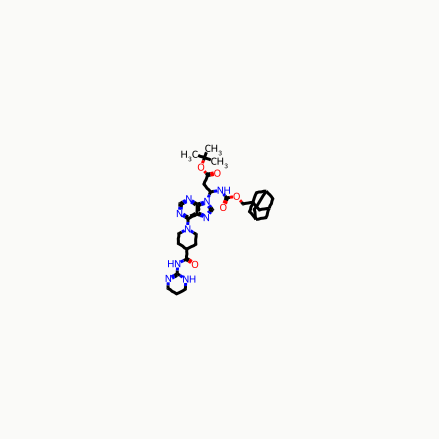 CC(C)(C)OC(=O)CC(NC(=O)OCC12CC3CC(CC(C3)C1)C2)n1cnc2c(N3CCC(C(=O)NC4=NCCCN4)CC3)ncnc21